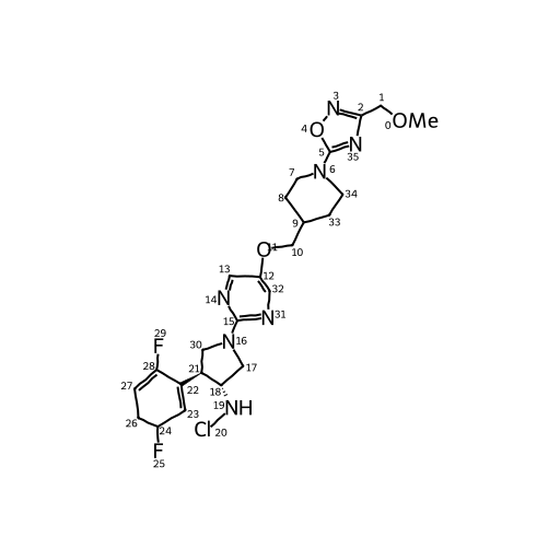 COCc1noc(N2CCC(COc3cnc(N4C[C@H](NCl)[C@@H](C5=CC(F)CC=C5F)C4)nc3)CC2)n1